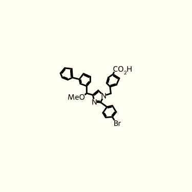 COC(c1cccc(-c2ccccc2)c1)c1cn(Cc2ccc(C(=O)O)cc2)c(-c2ccc(Br)cc2)n1